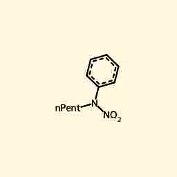 CCCCCN(c1ccccc1)[N+](=O)[O-]